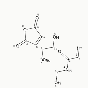 C=CC(=O)NCO.CCCCCCCCCCCCO.O=C1C=CC(=O)O1